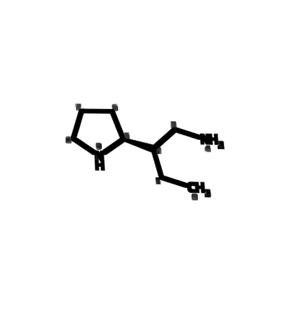 CCC(CN)[C@@H]1CCCN1